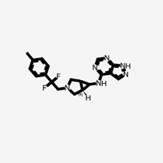 Cc1ccc(C(F)(F)CN2CC3C(Nc4ncnc5[nH]ncc45)[C@H]3C2)cc1